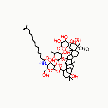 C=C(C)CCCCCCCCCCC(=O)N[C@@H]1C(O)C(OC2OC(C)[C@H](O[C@@H]3OC[C@@H](O)C(O)C3O)C(O)C2O)C(OC(=O)C2CCC(C)(C)C3(O)CC24CC3CC2(C)C4=CC3(C)CC4C(CCC5C4(C)CC[C@H](O)C5(C)C=O)C32)O[C@@H]1CO